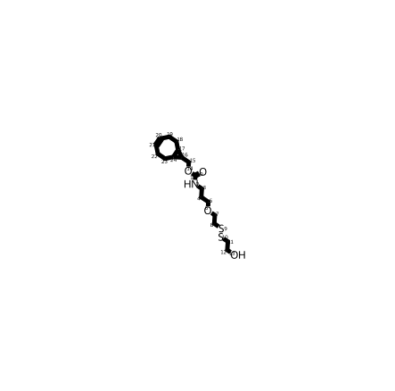 O=C(NCCCOCCSSCCO)OCC1C2CCC#CCCC21